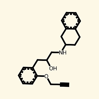 C#CCOc1ccccc1CC(O)CNC1CCc2ccccc2C1